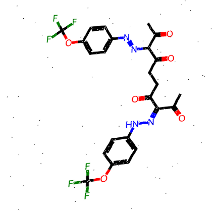 CC(=O)C(=NNc1ccc(OC(F)(F)F)cc1)C(=O)CCC(=O)C(N=Nc1ccc(OC(F)(F)F)cc1)C(C)=O